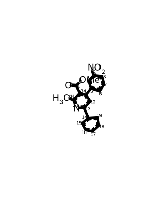 COC(=O)c1c(-c2cccc([N+](=O)[O-])c2)cc(-c2ccccc2)nc1C